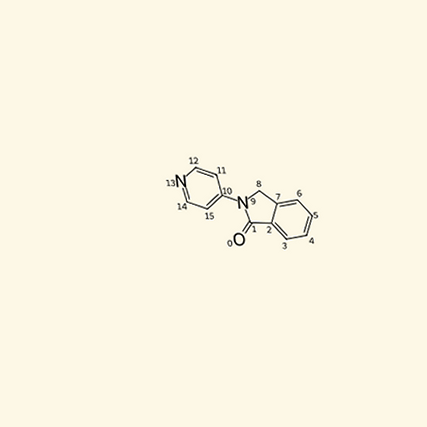 O=C1c2ccccc2CN1c1ccncc1